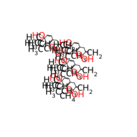 C.C=C(CC1=CC(C(C)(C)C)C(O)(C(C)(C)C)C=C1)C(=O)O.C=C(CC1=CC(C(C)(C)C)C(O)(C(C)(C)C)C=C1)C(=O)O.C=C(CC1=CC(C(C)(C)C)C(O)(C(C)(C)C)C=C1)C(=O)O.C=C(CC1=CC(C(C)(C)C)C(O)(C(C)(C)C)C=C1)C(=O)O